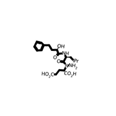 CC(C)C[C@H](NC(=O)[C@@H](O)CCc1ccccc1)C(=O)N(N)[C@@H](CCC(=O)O)C(=O)O